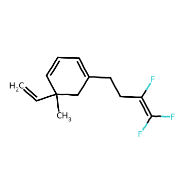 C=CC1(C)C=CC=C(CCC(F)=C(F)F)C1